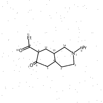 CCCN1CCC2CC(=O)C(C(=O)CC)CC2C1